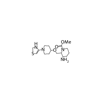 COC(=O)N1CCCC(N)C1COC1CCN(C2=CSCN2)CC1